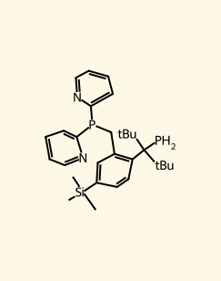 CC(C)(C)C(P)(c1ccc([Si](C)(C)C)cc1CP(c1ccccn1)c1ccccn1)C(C)(C)C